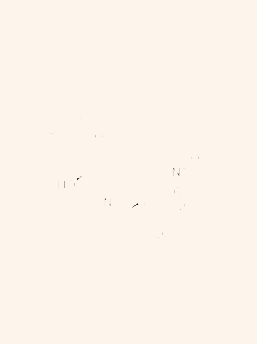 CCOC(=O)O[C@H]1Cc2ccccc2N1[C@H]1c2cc([N+](=O)[O-])ccc2O[C@](C)(C(OC)OC)[C@@H]1O